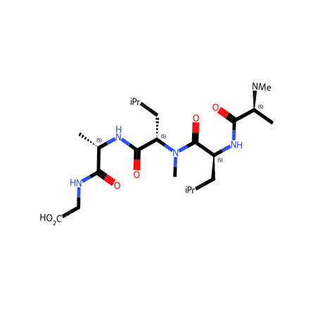 CN[C@@H](C)C(=O)N[C@@H](CC(C)C)C(=O)N(C)[C@@H](CC(C)C)C(=O)N[C@@H](C)C(=O)NCC(=O)O